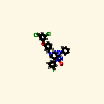 O=C1N=C(NC2CCCCC2)C2(CCN(Cc3cccc(Oc4cc(Cl)cc(Cl)c4)c3)CC2)N1c1cccc(F)c1